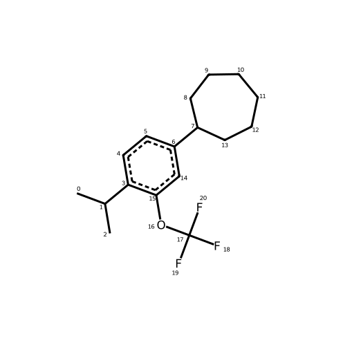 CC(C)c1ccc(C2CCCCCC2)cc1OC(F)(F)F